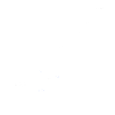 CCCCCCCCCCCCCCCCCCN(CC(=O)O)C(=N)N